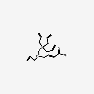 C=CC[SiH](CC=CC(=O)O)O[Si](CC=C)(CC=C)CC=C